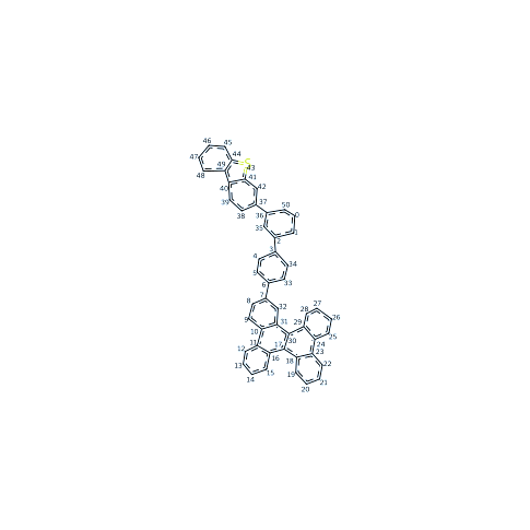 c1cc(-c2ccc(-c3ccc4c5ccccc5c5c6ccccc6c6ccccc6c5c4c3)cc2)cc(-c2ccc3c(c2)sc2ccccc23)c1